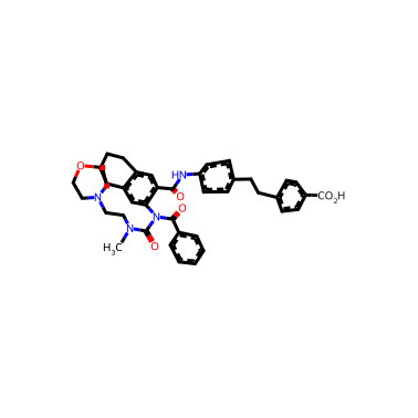 CN(CCN1CCOCC1)C(=O)N(C(=O)c1ccccc1)c1cc2c(cc1C(=O)Nc1ccc(CCc3ccc(C(=O)O)cc3)cc1)CCCC2